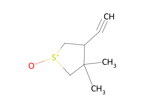 C#CC1C[S+]([O-])CC1(C)C